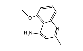 COc1cccc2nc(C)cc(N)c12